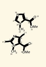 COC(=O)c1c(I)nc(I)n1C.COC(=O)c1cncn1C